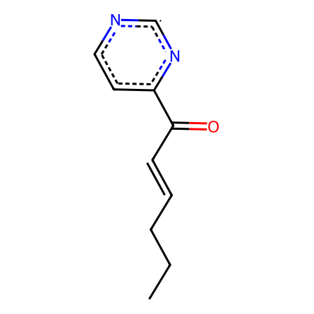 CCCC=CC(=O)c1ccn[c]n1